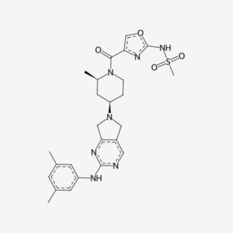 Cc1cc(C)cc(Nc2ncc3c(n2)CN([C@@H]2CCN(C(=O)c4coc(NS(C)(=O)=O)n4)[C@H](C)C2)C3)c1